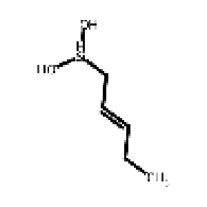 CCC=CC[SiH](O)O